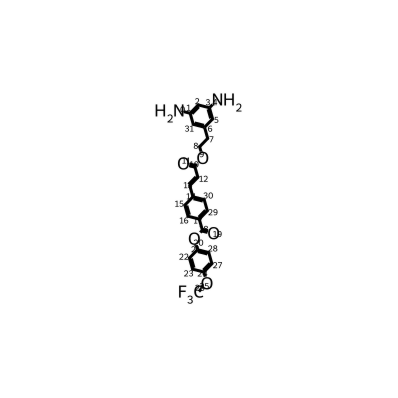 Nc1cc(N)cc(CCOC(=O)/C=C/c2ccc(C(=O)Oc3ccc(OC(F)(F)F)cc3)cc2)c1